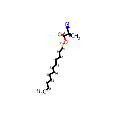 C=C(C#N)C(=O)OSCCCCCCCCCCCC